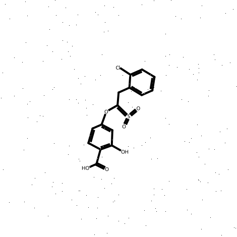 O=C(O)c1ccc(OC(Cc2ccccc2Cl)=S(=O)=O)cc1O